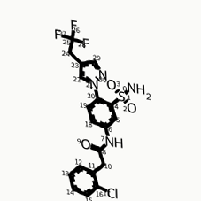 NS(=O)(=O)c1cc(NC(=O)Cc2ccccc2Cl)ccc1-n1cc(CC(F)(F)F)cn1